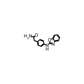 NC(=O)Cc1ccc(Nc2nc3ccccc3o2)cc1